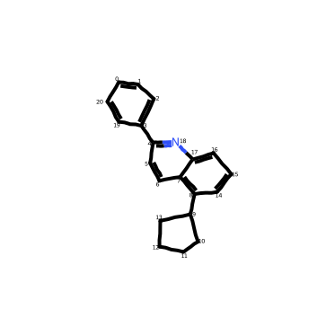 c1ccc(-c2ccc3c(C4CCCC4)cccc3n2)cc1